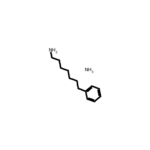 N.NCCCCCCCc1ccccc1